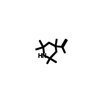 C=C(C)C1(C)CC(C)(C)NC(C)(C)C1